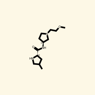 COCCN1CC[C@H](NC(=O)[C@@H]2CC(C)CN2)C1